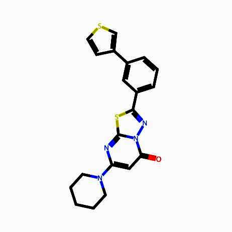 O=c1cc(N2CCCCC2)nc2sc(-c3cccc(-c4ccsc4)c3)nn12